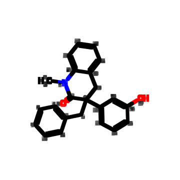 CN1C(=O)C(Cc2ccccc2)(c2cccc(O)c2)Cc2ccccc21